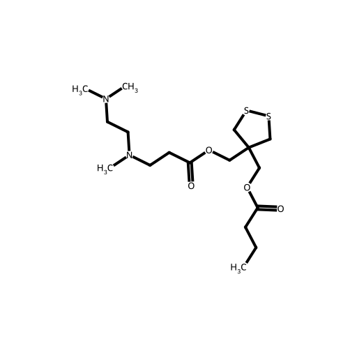 CCCC(=O)OCC1(COC(=O)CCN(C)CCN(C)C)CSSC1